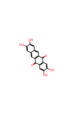 O=C1c2cc(O)c(O)cc2C(=O)c2cc3cc(O)c(O)cc3cc21